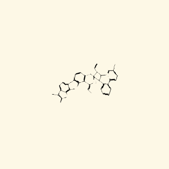 C=CC1C2C(c3ccccc3-c3ccc(C)c[n+]32)C12Cc1ccc3c(oc4c3ccc3c(C)c(C)sc34)c1/C(=C/C)N2